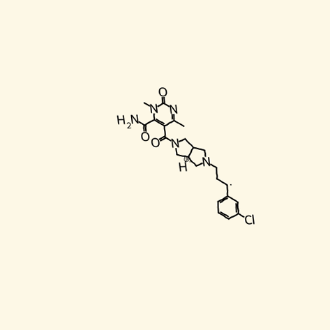 Cc1nc(=O)n(C)c(C(N)=O)c1C(=O)N1CC2CN(CC[CH]c3cccc(Cl)c3)C[C@H]2C1